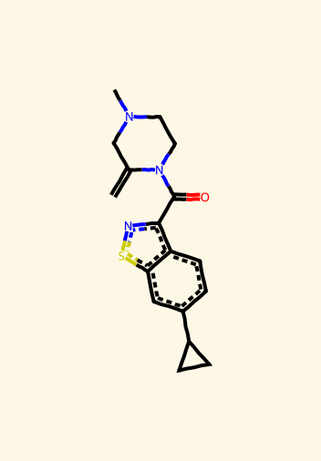 C=C1CN(C)CCN1C(=O)c1nsc2cc(C3CC3)ccc12